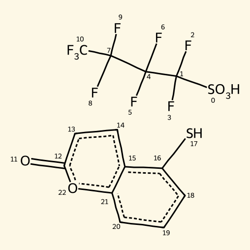 O=S(=O)(O)C(F)(F)C(F)(F)C(F)(F)C(F)(F)F.O=c1ccc2c(S)cccc2o1